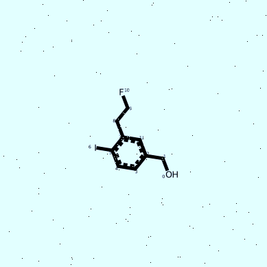 OCc1ccc(I)c(CCF)c1